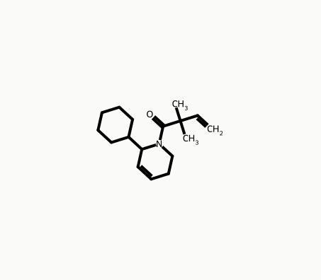 C=CC(C)(C)C(=O)N1CCC=CC1C1CCCCC1